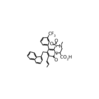 CC=Cc1c(Cc2cccc3ccccc23)c(-c2cccc(C(F)(F)F)c2)c2n(c1=O)C(C(=O)O)CN(C)S2(=O)=O